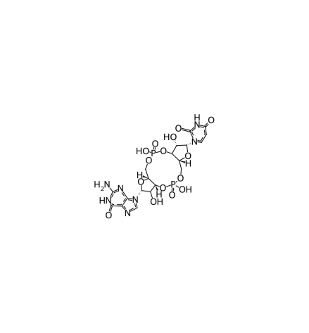 Nc1nc2c(ncn2[C@@H]2O[C@@H]3COP(=O)(O)OC4[C@@H](COP(=O)(O)O[C@@H]3C2O)O[C@@H](n2ccc(=O)[nH]c2=O)[C@H]4O)c(=O)[nH]1